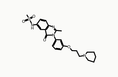 Cc1nc2ccc(NS(C)(=O)=O)cc2c(=O)n1-c1cccc(OCCCN2CCCCC2)c1